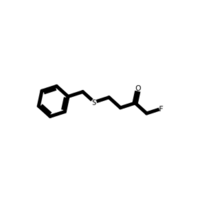 O=C(CF)CCSCc1ccccc1